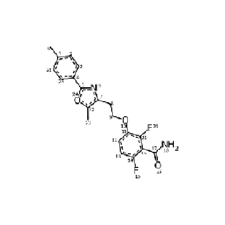 Cc1ccc(-c2nc(CCOc3ccc(F)c(C(N)=O)c3F)c(C)o2)cc1